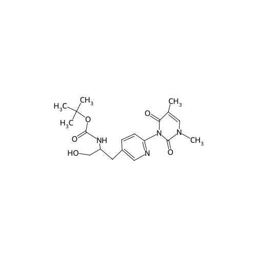 Cc1cn(C)c(=O)n(-c2ccc(CC(CO)NC(=O)OC(C)(C)C)cn2)c1=O